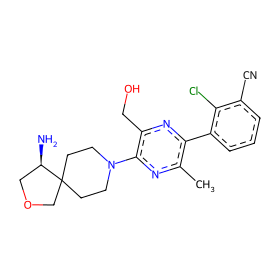 Cc1nc(N2CCC3(CC2)COC[C@H]3N)c(CO)nc1-c1cccc(C#N)c1Cl